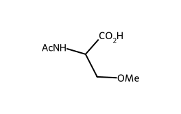 COCC(NC(C)=O)C(=O)O